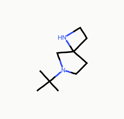 CC(C)(C)N1CCC2(CCN2)C1